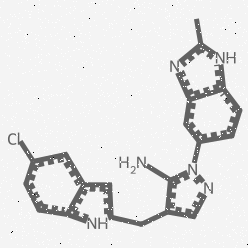 Cc1nc2cc(-n3ncc(Cc4cc5cc(Cl)ccc5[nH]4)c3N)ccc2[nH]1